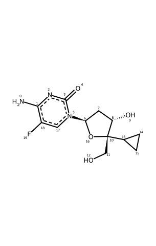 Nc1nc(=O)n([C@H]2C[C@H](O)[C@](CO)(C3CC3)O2)cc1F